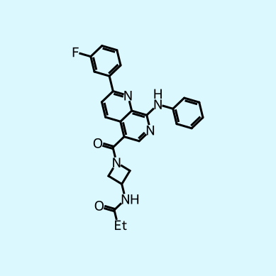 CCC(=O)NC1CN(C(=O)c2cnc(Nc3ccccc3)c3nc(-c4cccc(F)c4)ccc23)C1